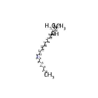 CCCCCCCC/C=C\CCCCCCCCCCNCCN(C)C